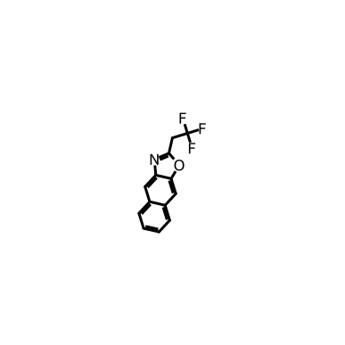 FC(F)(F)Cc1nc2cc3ccccc3cc2o1